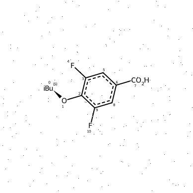 CC[C@H](C)Oc1c(F)cc(C(=O)O)cc1F